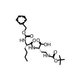 CCCC[C@H](NC(=O)OCc1ccccc1)C(=O)N[C@@H](CCNC(=O)OC(C)(C)C)C(=O)O